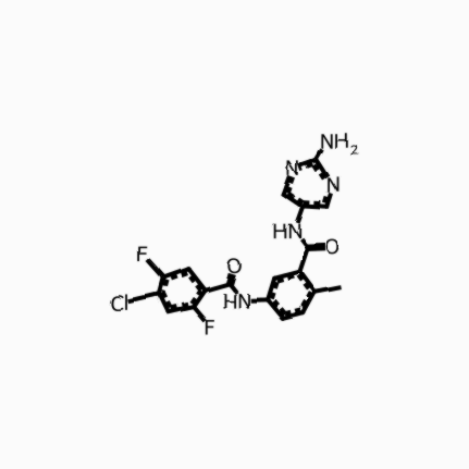 Cc1ccc(NC(=O)c2cc(F)c(Cl)cc2F)cc1C(=O)Nc1cnc(N)nc1